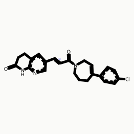 O=C1CCc2cc(/C=C/C(=O)N3CC=C(c4ccc(Cl)cc4)CCC3)cnc2N1